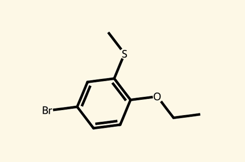 CCOc1ccc(Br)cc1SC